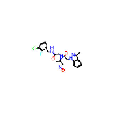 Cc1nn(CC(=O)N(CC(=O)NCc2cccc(Cl)c2F)C(C)CN=O)c2ccccc12